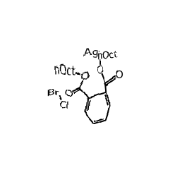 CCCCCCCCOC(=O)c1ccccc1C(=O)OCCCCCCCC.ClBr.[Ag]